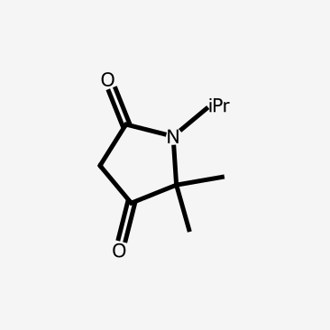 CC(C)N1C(=O)CC(=O)C1(C)C